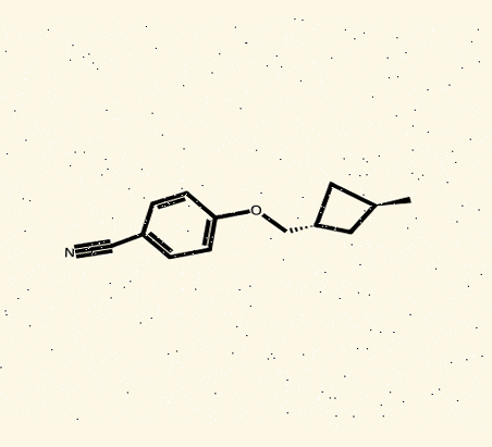 C[C@H]1C[C@H](COc2ccc(C#N)cc2)C1